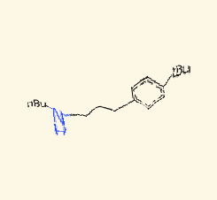 CCCCNCCCCc1ccc(C(C)(C)C)cc1